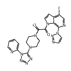 O=C(C(=O)n1ccc2c(F)cnc(-n3ccnn3)c21)N1CCN(c2nnnn2-c2ccccn2)CC1